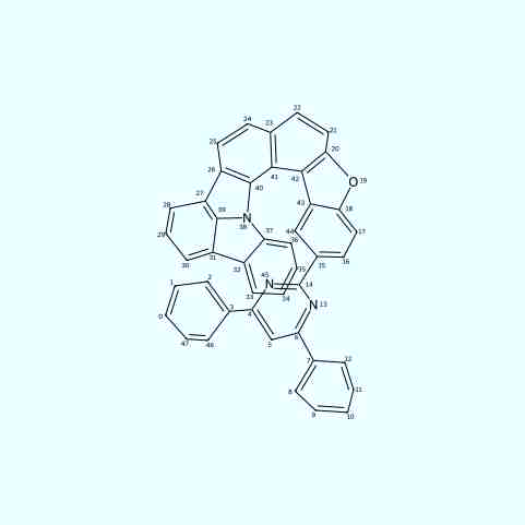 c1ccc(-c2cc(-c3ccccc3)nc(-c3ccc4oc5ccc6ccc7c8cccc9c%10ccccc%10n(c98)c7c6c5c4c3)n2)cc1